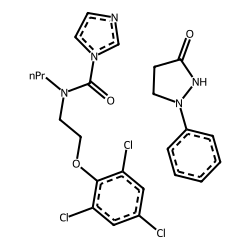 CCCN(CCOc1c(Cl)cc(Cl)cc1Cl)C(=O)n1ccnc1.O=C1CCN(c2ccccc2)N1